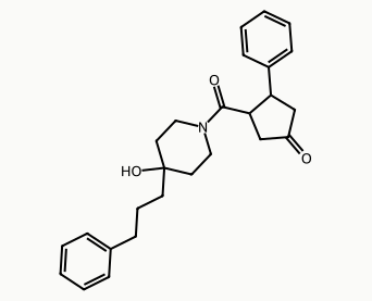 O=C1CC(C(=O)N2CCC(O)(CCCc3ccccc3)CC2)C(c2ccccc2)C1